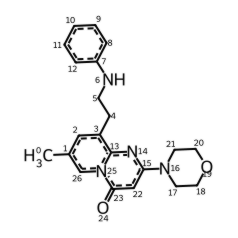 Cc1cc(CCNc2ccccc2)c2nc(N3CCOCC3)cc(=O)n2c1